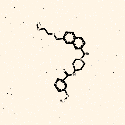 Br.COCCOCc1ccc2ccc(CN3CCC(NC(=O)c4cccc(OC)c4)CC3)cc2c1